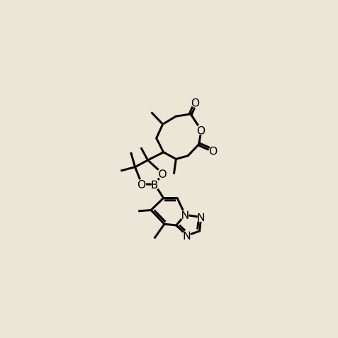 Cc1c(B2OC(C)(C)C(C)(C3CC(C)CC(=O)OC(=O)CC3C)O2)cn2ncnc2c1C